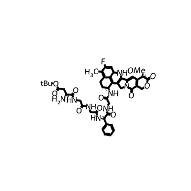 CO[C@H]1C(=O)OCc2c1cc1n(c2=O)CC2=C1NC1C=C(F)C(C)=C3CC[C@H](NC(=O)CNC(=O)[C@@H](NC(=O)CNC(=O)CNC(=O)[C@H](N)CC(=O)OC(C)(C)C)c4ccccc4)C2=C31